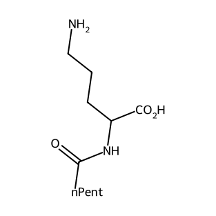 CCCCCC(=O)NC(CCCN)C(=O)O